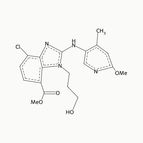 COC(=O)c1ccc(Cl)c2nc(Nc3cnc(OC)cc3C)n(CCCO)c12